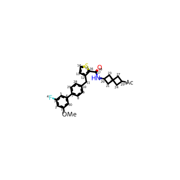 COc1cc(F)cc(-c2ccc(Cc3ccsc3C(=O)NC3CC4(C3)CC(C(C)=O)C4)cc2)c1